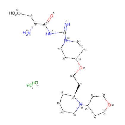 Cl.Cl.N=C(NC(=O)[C@H](N)CC(=O)O)N1CCC(OCC[C@@H]2CCCCN2C2CCOCC2)CC1